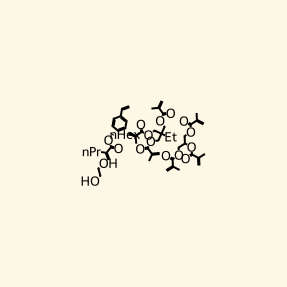 C=C(C)C(=O)OCC(CC)(COC(=O)C(=C)C)COC(=O)C(=C)C.C=C(C)C(=O)OCC(COC(=O)C(=C)C)OC(=O)C(=C)C.C=C(CCC)C(=O)OCCCCCC.C=Cc1ccccc1.OCCO